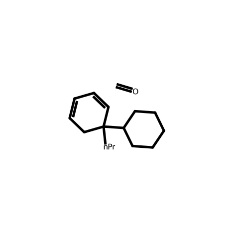 C=O.CCCC1(C2CCCCC2)C=CC=CC1